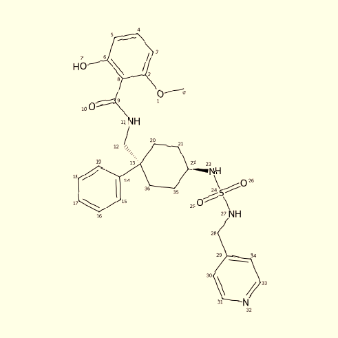 COc1cccc(O)c1C(=O)NC[C@]1(c2ccccc2)CC[C@@H](NS(=O)(=O)NCc2ccncc2)CC1